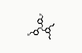 C=CCc1cc(CC=C)cc(CN(Cc2cccc(CBr)c2)Cc2cccc(CBr)c2)c1